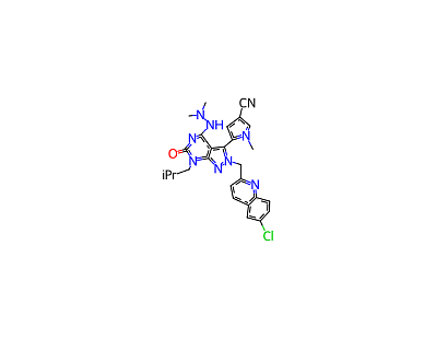 CC(C)Cn1c(=O)nc(NN(C)C)c2c(-c3cc(C#N)cn3C)n(Cc3ccc4cc(Cl)ccc4n3)nc21